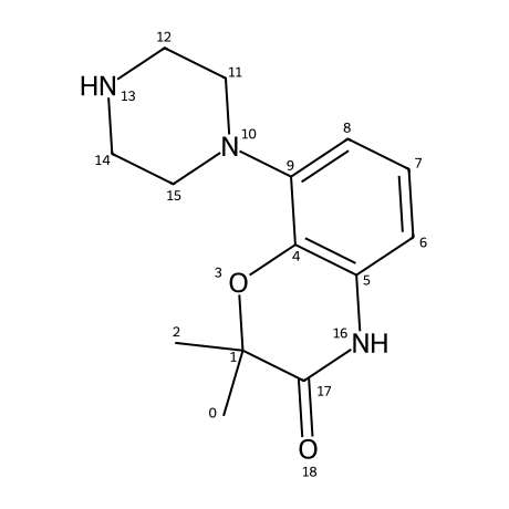 CC1(C)Oc2c(cccc2N2CCNCC2)NC1=O